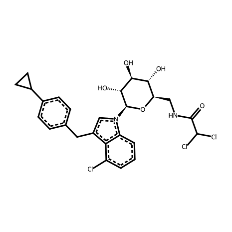 O=C(NC[C@H]1O[C@@H](n2cc(Cc3ccc(C4CC4)cc3)c3c(Cl)cccc32)[C@H](O)[C@@H](O)[C@@H]1O)C(Cl)Cl